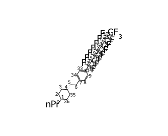 CCC[C@H]1CC[C@H](CCc2ccc(C(F)(F)C(F)(F)C(F)(F)C(F)(F)C(F)(F)C(F)(F)C(F)(F)C(F)(F)F)cc2)CC1